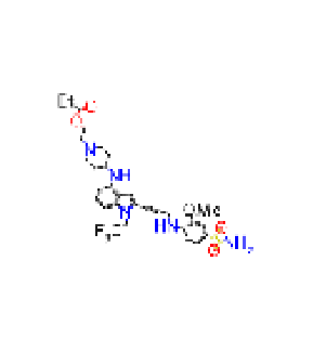 CCC(=O)OCCN1CCC(Nc2cccc3c2cc(C#CCNc2ccc(S(N)(=O)=O)cc2OC)n3CC(F)(F)F)CC1